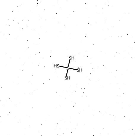 SS(S)(S)S